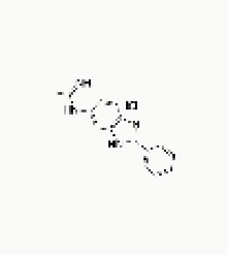 CC(=N)Nc1ccc2nc(-c3ccccc3)[nH]c2c1.Cl